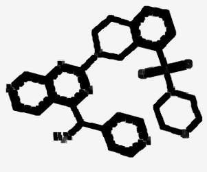 NC(c1ccncc1)c1nc(N2CCc3cccc(S(=O)(=O)N4CCOCC4)c3C2)nc2cnccc12